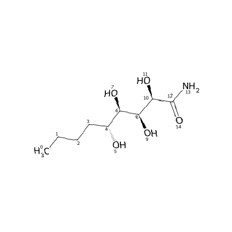 CCCC[C@@H](O)[C@@H](O)[C@H](O)[C@@H](O)C(N)=O